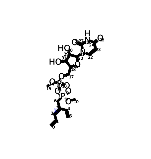 C=C/C=C(\C=C)CP(=O)(OC)OP(=O)(OC)OCC1OC(n2ccc(=O)[nH]c2=O)C(O)C1O